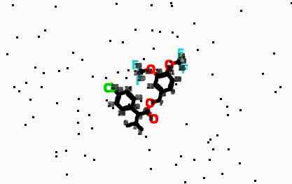 CC(C)C(C(=O)OCc1ccc(OC(F)F)c(OC(F)F)c1)c1ccc(Cl)cc1